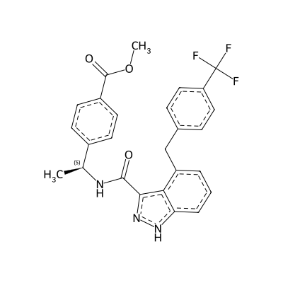 COC(=O)c1ccc([C@H](C)NC(=O)c2n[nH]c3cccc(Cc4ccc(C(F)(F)F)cc4)c23)cc1